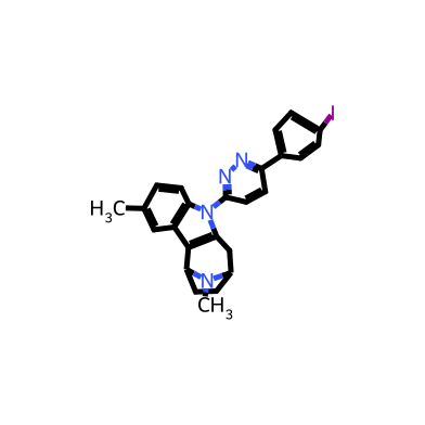 Cc1ccc2c(c1)c1c(n2-c2ccc(-c3ccc(I)cc3)nn2)CC2CCC1N2C